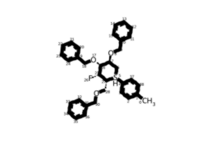 Cc1ccc([SH]2C[C@H](OCc3ccccc3)[C@@H](OCc3ccccc3)[C@@H](F)[C@H]2COCc2ccccc2)cc1